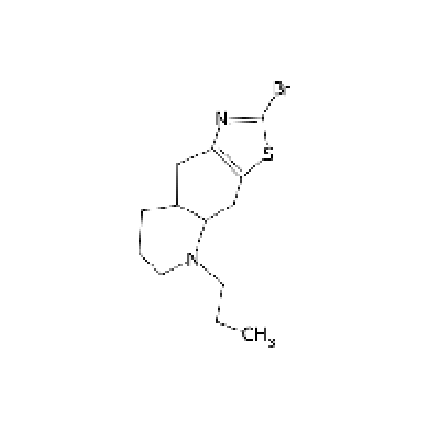 CCCN1CCCC2Cc3nc(Br)sc3CC21